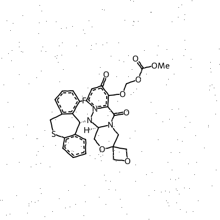 COC(=O)OCOc1c2n(ccc1=O)N([C@@H]1c3ccccc3SCc3cccc(F)c31)[C@@H]1COC3(COC3)CN1C2=O